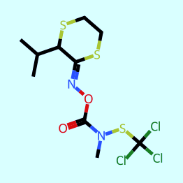 CC(C)C1SCCSC1=NOC(=O)N(C)SC(Cl)(Cl)Cl